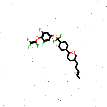 C/C=C/CCC1CCC(C2CCC(C(F)(F)Oc3cc(F)c(OC(F)=C(F)F)c(F)c3)CC2)OC1